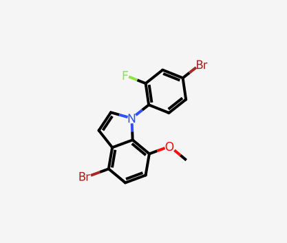 COc1ccc(Br)c2ccn(-c3ccc(Br)cc3F)c12